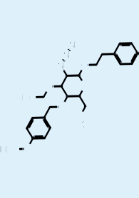 CCOC1C(N=[N+]=[N-])C(OCCc2ccccc2)OC(COC)C1OCc1ccc(OC)cc1